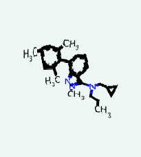 CCCN(CC1CC1)c1c2cccc(-c3c(C)cc(C)cc3C)c2nn1C